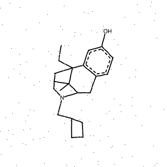 CCC12CCN(CC3CCC3)C(Cc3ccc(O)cc31)C2(C)C